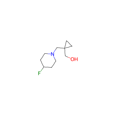 OCC1(CN2CCC(F)CC2)CC1